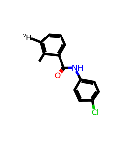 [2H]c1cccc(C(=O)Nc2ccc(Cl)cc2)c1C